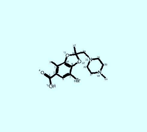 Cc1c(C(=O)O)cc(Br)c2c1OC(C)(CN1CCN(C)CC1)O2